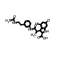 C=C(C(=O)Nc1cccc(CCNC(N)=O)c1)c1c(C(=O)O)[nH]c2cc(Cl)cc(Cl)c12